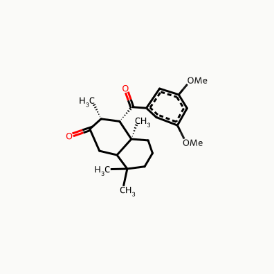 COc1cc(OC)cc(C(=O)[C@H]2[C@@H](C)C(=O)CC3C(C)(C)CCC[C@@]32C)c1